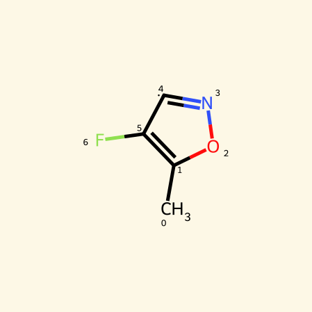 Cc1on[c]c1F